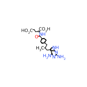 CC(Cc1ccc(C(=O)N[C@@H](CCC(=O)O)C(=O)O)cc1)Cc1c[nH]c2nc(N)nc(N)c12